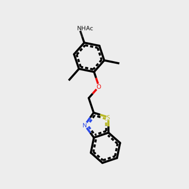 CC(=O)Nc1cc(C)c(OCc2nc3ccccc3s2)c(C)c1